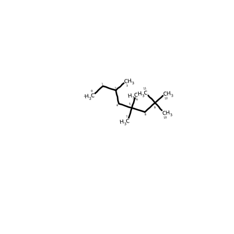 [CH2]CC(C)CC(C)(C)CC(C)(C)C